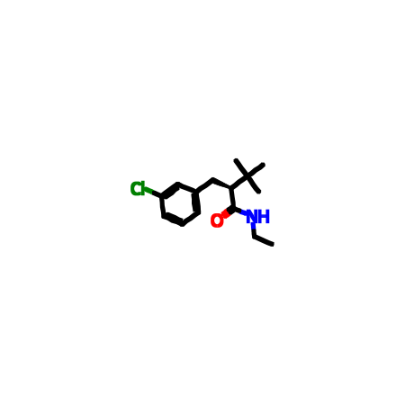 CCNC(=O)[C@@H](Cc1cccc(Cl)c1)C(C)(C)C